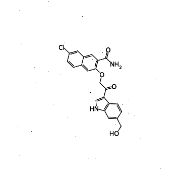 NC(=O)c1cc2cc(Cl)ccc2cc1OCC(=O)c1c[nH]c2cc(CO)ccc12